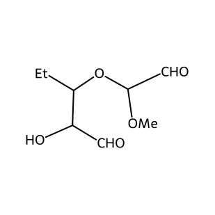 CCC(OC(C=O)OC)C(O)C=O